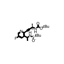 CC(N[S+]([O-])C(C)(C)C)c1cc(F)cnc1C#C[C@@H](C)NC(=O)OC(C)(C)C